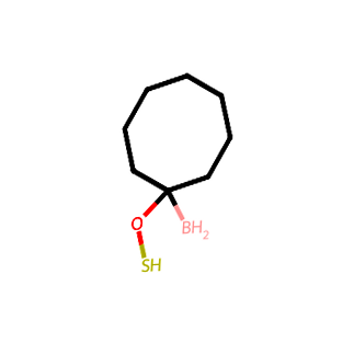 BC1(OS)CCCCCCC1